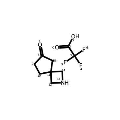 O=C(O)C(F)(F)F.O=C1CCC2(CNC2)C1